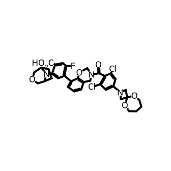 O=C(O)c1cc(F)c(-c2cccc3c2OCN(C(=O)c2c(Cl)cc(N4CC5(C4)OCCCCO5)cc2Cl)C3)cc1N1C2CCC1COC2